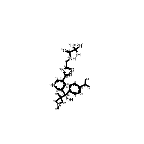 [2H]C([2H])([2H])C(=O)NCc1nc(-c2cncc([C@@](O)(c3ccc(C(C)C)cc3)C3(C)CN(C)C3)c2)no1